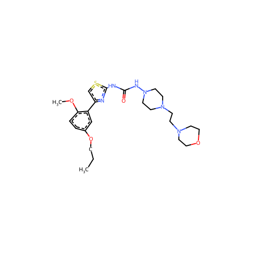 CCCOc1ccc(OC)c(-c2csc(NC(=O)NN3CCN(CCN4CCOCC4)CC3)n2)c1